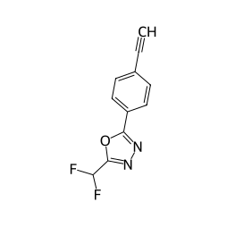 C#Cc1ccc(-c2nnc(C(F)F)o2)cc1